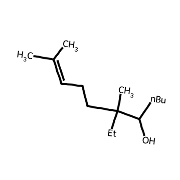 CCCCC(O)C(C)(CC)CCC=C(C)C